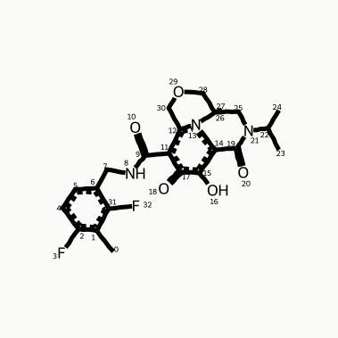 Cc1c(F)ccc(CNC(=O)c2c3n4c(c(O)c2=O)C(=O)N(C(C)C)CC4(C)COC3)c1F